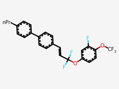 CCCc1ccc(-c2ccc(/C=C/C(F)(F)Oc3ccc(OC(F)(F)F)c(F)c3)cc2)cc1